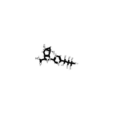 O=C(O)c1nn(-c2cnc(C(F)(F)C(F)(F)C(F)(F)F)cn2)c2c1C[C@H]1C[C@@H]21